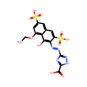 CCOc1cc(S(=O)(=O)O)cc2cc(S(=O)(=O)O)c(/N=N/c3n[nH]c(C(=O)O)n3)c(O)c12